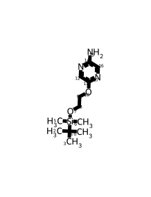 CC(C)(C)[Si](C)(C)OCCOc1cnc(N)cn1